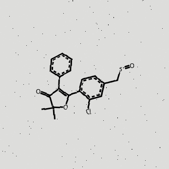 CC1(C)OC(c2ccc(C[S+]=O)cc2Cl)=C(c2ccccc2)C1=O